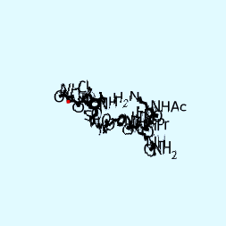 CC(=O)N[C@@H](CCCCN)C(=O)N[C@H](C(=O)N[C@@H](CCCNC(N)=O)C(=O)Nc1ccc(COC(=O)N(C)CCN(C)C(=S)Oc2cc3c(c4c(C)c[nH]c24)[C@H](CCl)CN3C(=O)C23CC(C(N)=O)(C2)C3)cc1)C(C)C